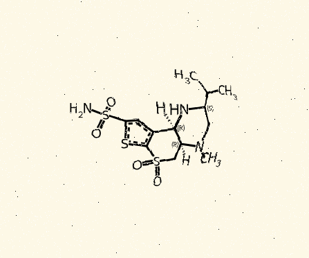 CC(C)[C@H]1CN(C)[C@H]2CS(=O)(=O)c3sc(S(N)(=O)=O)cc3[C@H]2N1